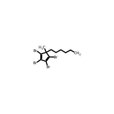 CCCCCCC1(C)C(Br)=C(Br)C(Br)=C1Br